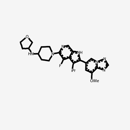 COc1cc(-c2[nH]c3cnc(N4CCC(NC5CCOC5)CC4)c(F)c3c2C(C)C)cn2ncnc12